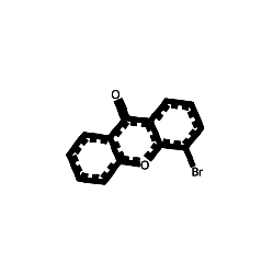 O=c1c2ccccc2oc2c(Br)cccc12